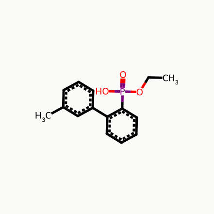 CCOP(=O)(O)c1ccccc1-c1cccc(C)c1